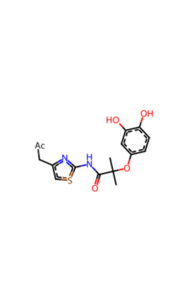 CC(=O)Cc1csc(NC(=O)C(C)(C)Oc2ccc(O)c(O)c2)n1